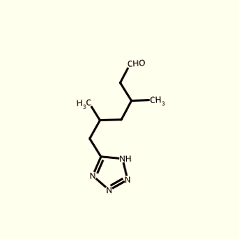 CC(CC=O)CC(C)Cc1nnn[nH]1